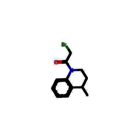 CC1CCN(C(=O)CBr)c2ccccc21